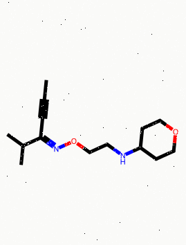 CC#C/C(=N\OCCNC1CCOCC1)C(C)C